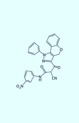 N#CC(C(=O)Nc1cccc([N+](=O)[O-])c1)C(=O)c1nn(-c2ccccc2)c2c1COc1ccccc1-2